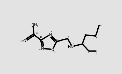 CCCC(CC)NCc1nc(C(N)=O)no1